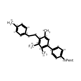 CCCCCc1ccc(-c2cc(C)c(CCc3ccc(C)cc3)c(C(F)(F)F)c2C(F)(F)F)cc1